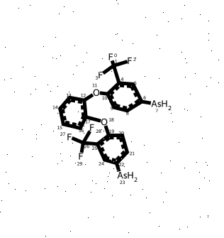 FC(F)(F)c1cc([AsH2])ccc1Oc1ccccc1Oc1ccc([AsH2])cc1C(F)(F)F